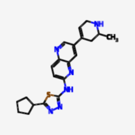 CC1CC(c2cnc3ccc(Nc4nnc(C5CCCC5)s4)nc3c2)=CCN1